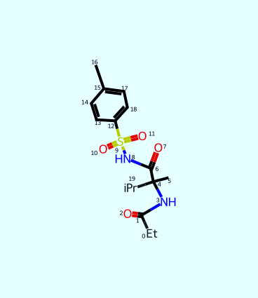 CCC(=O)NC(C)(C(=O)NS(=O)(=O)c1ccc(C)cc1)C(C)C